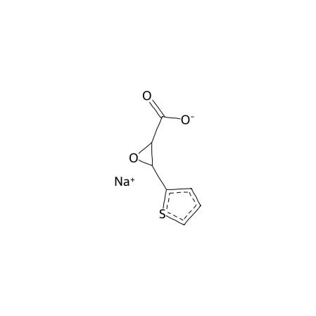 O=C([O-])C1OC1c1cccs1.[Na+]